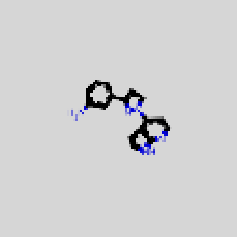 Nc1cccc(-c2ccn(-c3ccnc4[nH]ccc34)n2)c1